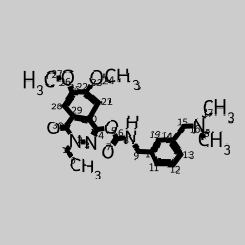 CCn1nc(OC(=O)NCc2cccc(CN(C)C)c2)c2cc(OC)c(OC)cc2c1=O